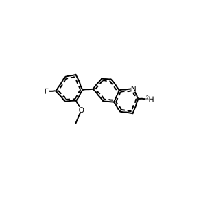 [2H]c1ccc2cc(-c3ccc(F)cc3OC)ccc2n1